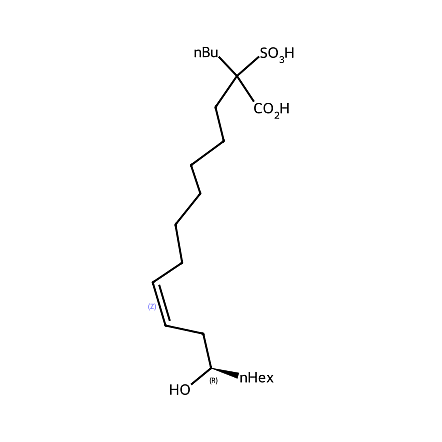 CCCCCC[C@@H](O)C/C=C\CCCCCCC(CCCC)(C(=O)O)S(=O)(=O)O